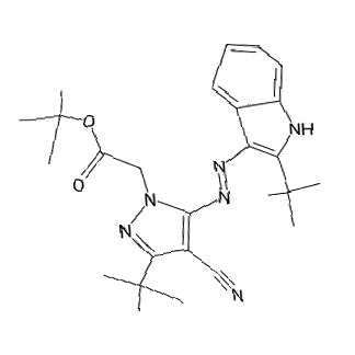 CC(C)(C)OC(=O)Cn1nc(C(C)(C)C)c(C#N)c1/N=N/c1c(C(C)(C)C)[nH]c2ccccc12